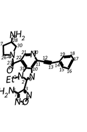 CCn1c(-c2nonc2N)nc2c(C#Cc3ccccc3)ncc(C(=O)N3CCC(N)C3)c21